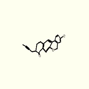 CC#CCC1CCc2cc3c(cc2C1=O)OCc1cc(Cl)ccc1-3